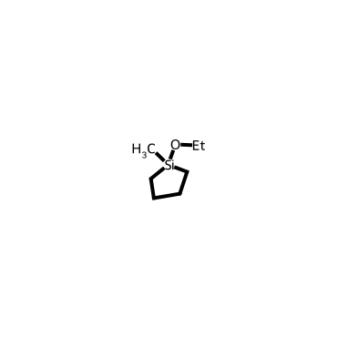 CCO[Si]1(C)CCCC1